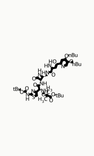 CCCCOc1cnc(/C(O)=C/C(=N)C(=O)NC[C@H]2NC(=O)[C@H]2NC(=O)[C@H](NOC(C)(C)C(=O)OC(C)(C)C)c2csc(NC(=O)OC(C)(C)C)n2)cc1OCCCC